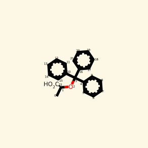 C[C@@H](OC(c1ccccc1)(c1ccccc1)c1ccccc1)C(=O)O